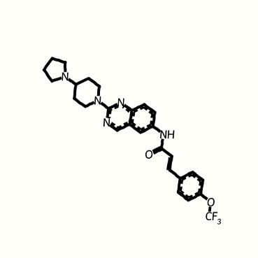 O=C(/C=C/c1ccc(OC(F)(F)F)cc1)Nc1ccc2nc(N3CCC(N4CCCC4)CC3)ncc2c1